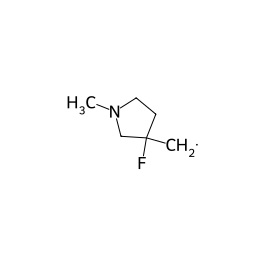 [CH2]C1(F)CCN(C)C1